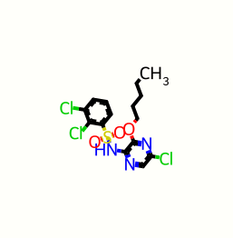 CCCCCOc1nc(Cl)cnc1NS(=O)(=O)c1cccc(Cl)c1Cl